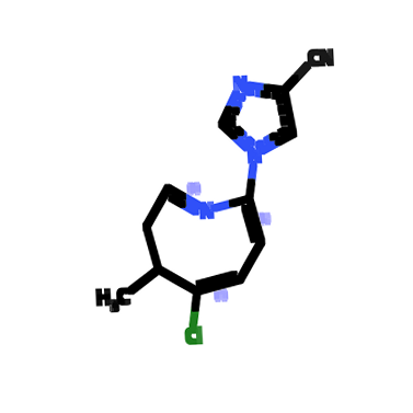 CC1C/C=N/C(n2cnc(C#N)c2)=C\C=C/1Cl